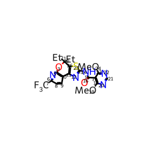 CCC1(CC)Oc2nc(C(F)(F)F)ccc2-c2nc(NC(=O)c3c(OC)ncnc3OC)sc21